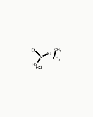 CC.CCN(S)CC.Cl